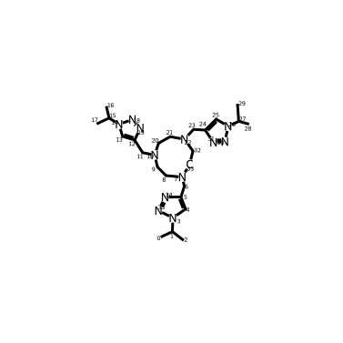 CC(C)n1cc(CN2CCN(Cc3cn(C(C)C)nn3)CCN(Cc3cn(C(C)C)nn3)CC2)nn1